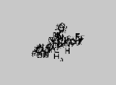 Cc1cc(C(F)(F)F)ccc1NC(=O)C1CC(C)c2c(N3CCN(C(=O)c4nccc(F)c4O)CC3)c(=O)n3nc(C4=CCOCC4)nc3n21